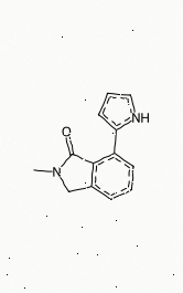 CN1Cc2cccc(-c3ccc[nH]3)c2C1=O